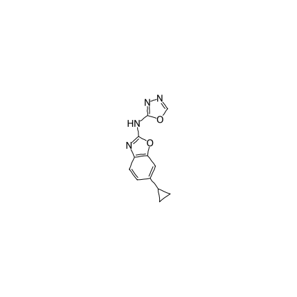 c1nnc(Nc2nc3ccc(C4CC4)cc3o2)o1